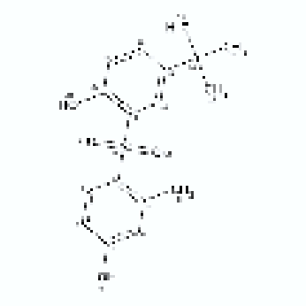 Cc1cc(O)ccc1S(=O)(=O)c1cc(C(C)(C)C)ccc1O